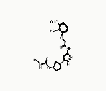 CC(C)NC(=O)O[C@@H]1CC[C@H](c2cc(NC(=O)COc3cccc(C=O)c3O)n[nH]2)C1